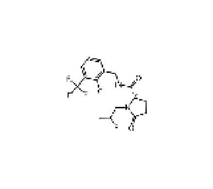 CC(F)CN1C(=O)CC[C@H]1C(=O)NCc1cccc(C(F)(F)F)c1Cl